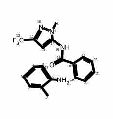 Cc1ccccc1N.Cn1nc(C(F)(F)F)cc1NC(=O)c1ccccc1